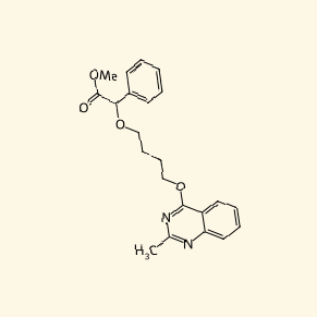 COC(=O)C(OCCCCOc1nc(C)nc2ccccc12)c1ccccc1